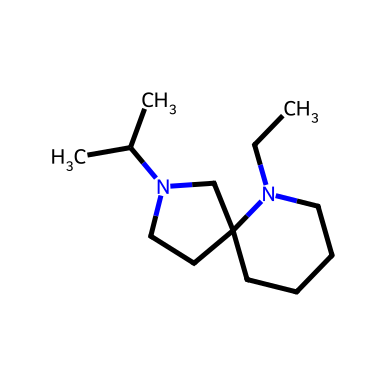 CCN1CCCCC12CCN(C(C)C)C2